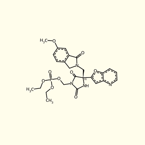 CCOP(=O)(OCC)OCN1C(=O)N[C@@](CN2Cc3ccc(OC)cc3C2=O)(c2cc3ncccc3o2)C1=O